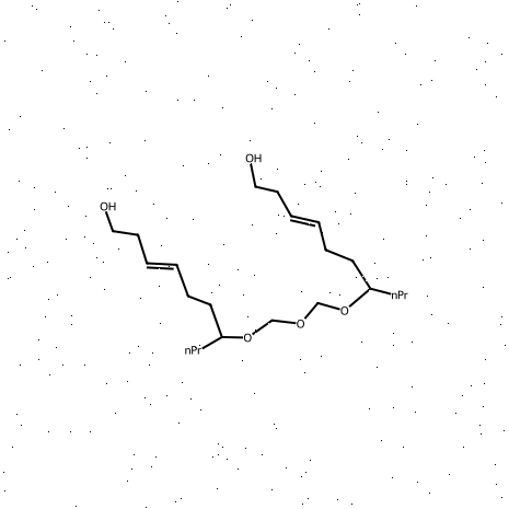 CCCC(CCC=CCCO)OCOCOC(CCC)CCC=CCCO